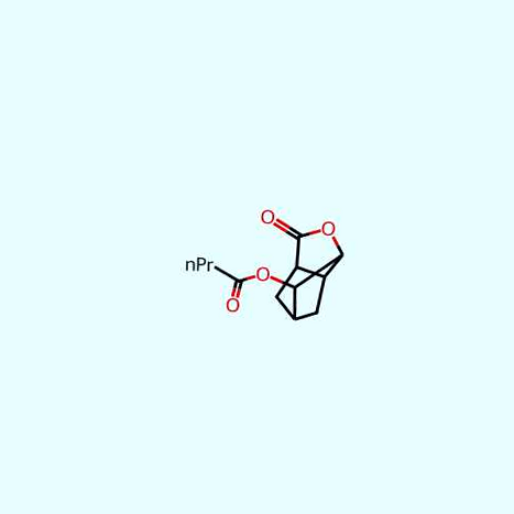 CCCC(=O)OC1C2CC3C(=O)OC1C3C2